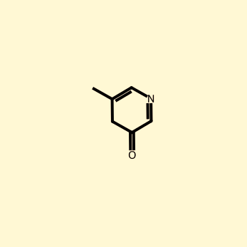 CC1=CN=CC(=O)C1